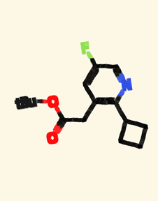 CC(C)(C)OC(=O)Cc1cc(F)cnc1C1CCC1